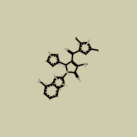 Cc1cc(C(=O)C2=C(O)C(=O)N(c3nc4c(Cl)cccc4s3)C2c2ccsc2)c(C)o1